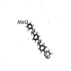 COc1ccc(N=Nc2ccc(N=Nc3ccc(N4CCOCC4)cc3)cc2)cc1